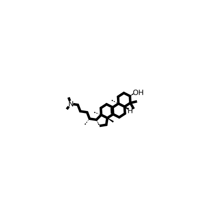 C[C@H](CCCN(C)C)[C@H]1CC[C@@]2(C)C3=C(CC[C@]12C)[C@@]1(C)CC[C@H](O)C(C)(C)[C@@H]1CC3